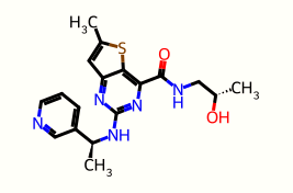 Cc1cc2nc(N[C@@H](C)c3cccnc3)nc(C(=O)NC[C@H](C)O)c2s1